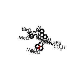 COc1ccc(CN(Cc2ccc(OC)cc2)S(=O)(=O)c2c(S(=O)(=O)NCCN(C(=O)O)C(C)(C)C)ccc(-c3ccc4ncn(CCNC(=O)OC(C)(C)C)c4c3)c2-c2nnn(Cc3ccc(OC)cc3)n2)cc1